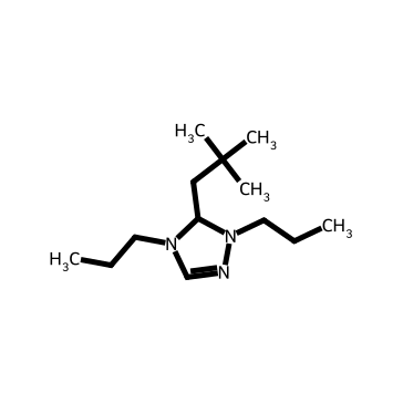 CCCN1C=NN(CCC)C1CC(C)(C)C